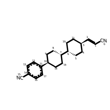 N#CC=C[C@H]1CC[C@H]([C@H]2CC[C@H](c3ccc(C#N)cc3)CC2)CC1